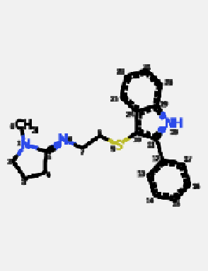 CN1CCCC1=NCCSc1c(-c2ccccc2)[nH]c2ccccc12